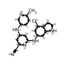 Cc1ccc(Nc2cc(C#N)nc(Nc3cc(Cl)c4cc[nH]c4c3)c2)cn1